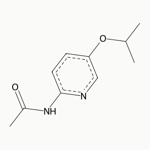 CC(=O)Nc1ccc(OC(C)C)cn1